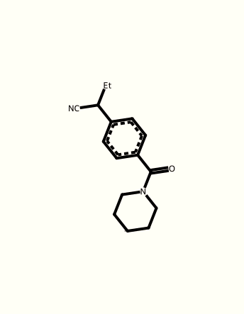 CCC(C#N)c1ccc(C(=O)N2CC[CH]CC2)cc1